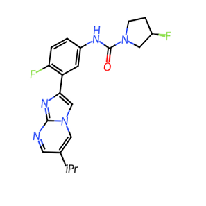 CC(C)c1cnc2nc(-c3cc(NC(=O)N4CC[C@@H](F)C4)ccc3F)cn2c1